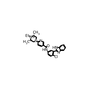 CCN1[C@H](C)CN(c2ccc(C(=O)Nc3ccc(Cl)c(-c4nc5ccccc5[nH]4)c3)cn2)C[C@@H]1C